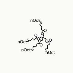 CCCCCCCCSCCCC(=O)OCC(COC(=O)CCCSCCCCCCCC)(COC(=O)CCCSCCCCCCCC)COC(=O)CCCSCCCCCCCC